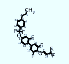 CCCc1ccc(C(F)(F)Oc2ccc(-c3cc(F)c(O/C=C/C(F)F)c(F)c3)c(F)c2)cc1